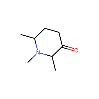 [CH2]N1C(C)CCC(=O)C1C